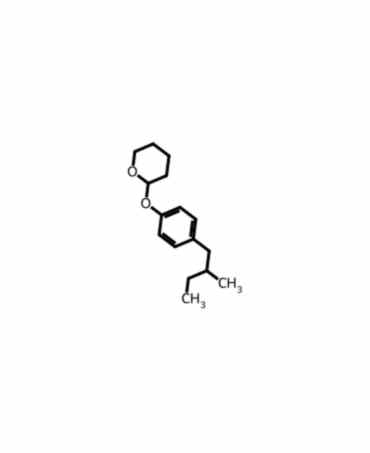 CCC(C)Cc1ccc(OC2CCCCO2)cc1